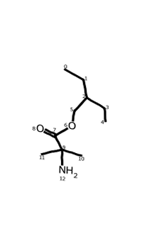 CCC(CC)COC(=O)C(C)(C)N